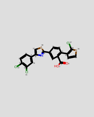 O=C(O)c1cc(-c2nc(-c3ccc(Cl)c(Cl)c3)cs2)ccc1-c1ccsc1Cl